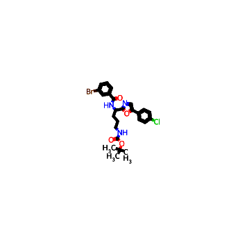 CC(C)(C)OC(=O)NCCCC(NC(=O)c1cccc(Br)c1)c1ncc(-c2ccc(Cl)cc2)o1